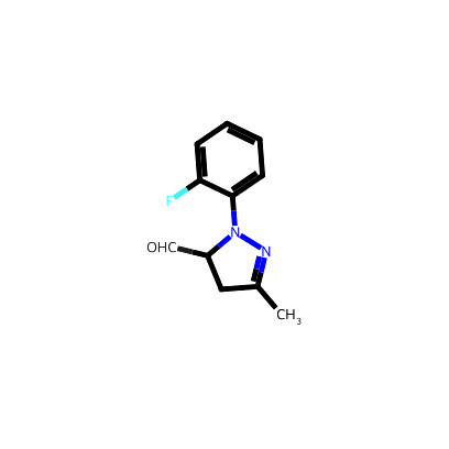 CC1=NN(c2ccccc2F)C(C=O)C1